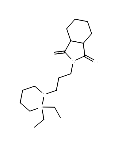 CC[Si]1(CC)CCCCN1CCCN1C(=O)C2CCCCC2C1=O